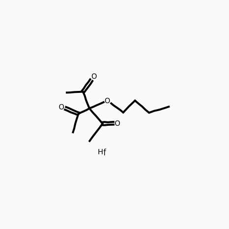 CCCCOC(C(C)=O)(C(C)=O)C(C)=O.[Hf]